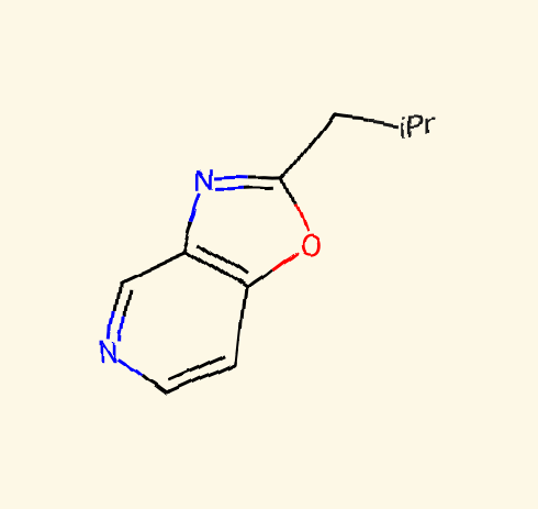 CC(C)Cc1nc2cnccc2o1